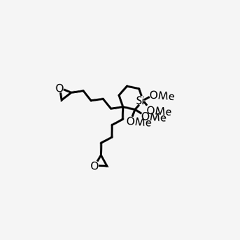 COC1(OC)C(CCCCC2CO2)(CCCCC2CO2)CCC[Si]1(OC)OC